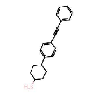 BC1CCC(c2ccc(C#Cc3ccccc3)cc2)CC1